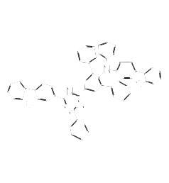 c1ccc(-c2nc(-c3cc(-c4ccccc4)c(-n4c5ccccc5c5cc6c(cc54)sc4ccccc46)c(-c4ccccc4)c3)nc(-c3ccc4c(c3)oc3ccccc34)n2)cc1